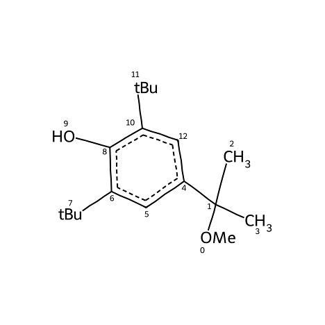 COC(C)(C)c1cc(C(C)(C)C)c(O)c(C(C)(C)C)c1